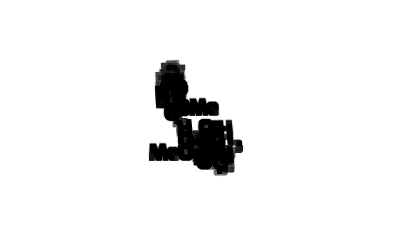 COC1=C(OCCCCCOC2=C(OC)C[C@@H]3C(=O)N4C(C=N[C@@H]3C2)CC2CCCC[C@H]24)CC2[C@@H](C1)C(=O)N1C3CCCC[C@H]3C[C@H]1CN2CC(C)(C)S